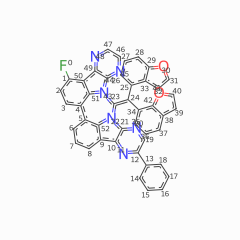 Fc1ccc2c3cccc4c5nc(-c6ccccc6)cnc5n(/c(=C(/c5cccc6occc56)c5cccc6ccoc56)n5c6nccnc6c1c25)c34